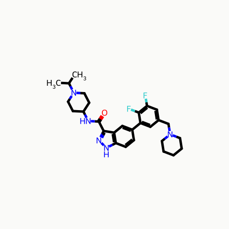 CC(C)N1CCC(NC(=O)c2n[nH]c3ccc(-c4cc(CN5CCCCC5)cc(F)c4F)cc23)CC1